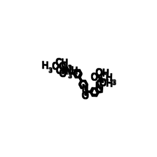 CC(C)(C)OC(=O)NCc1cccc(C2CCN(C(=O)c3ccc4c(c3)N(CC(C)(O)C(=O)O)CC4)CC2)c1